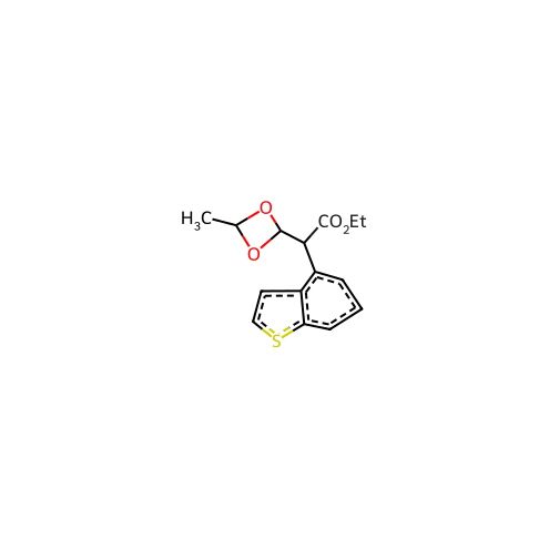 CCOC(=O)C(c1cccc2sccc12)C1OC(C)O1